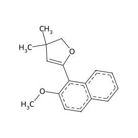 COc1ccc2ccccc2c1C1=CC(C)(C)CO1